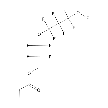 C=CC(=O)OCC(F)(F)C(F)(F)OC(F)(F)C(F)(F)C(F)(F)OF